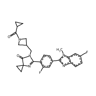 Cn1c(-c2ccc(C3=NC4(CC4)C(=O)N3CC3CN(C(=O)C4CC4)C3)c(F)c2)nc2ccc(F)cc21